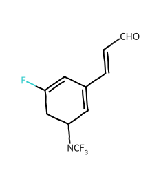 O=C/C=C/C1=CC(NC(F)(F)F)CC(F)=C1